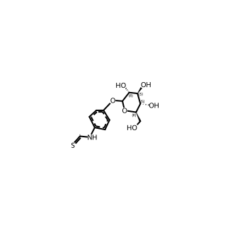 OC[C@H]1OC(Oc2ccc(N[C]=S)cc2)[C@H](O)[C@@H](O)[C@@H]1O